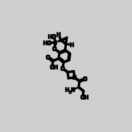 N[C@@H](CO)C(=O)N1CC(Oc2ccc3c(c2C(=O)O)O[B-](O)(O)[C@@H]2C[C@H]32)C1